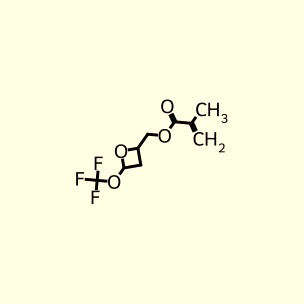 C=C(C)C(=O)OCC1CC(OC(F)(F)F)O1